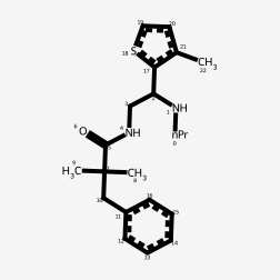 CCCNC(CNC(=O)C(C)(C)Cc1ccccc1)c1sccc1C